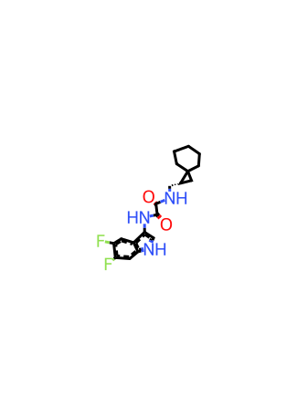 O=C(NC[C@H]1CC12CCCCC2)C(=O)Nc1c[nH]c2cc(F)c(F)cc12